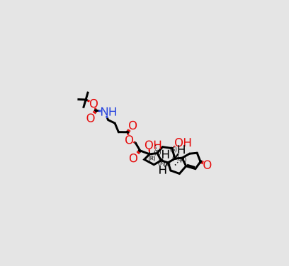 CC(C)(C)OC(=O)NCCCC(=O)OCC(=O)[C@@]1(O)CC[C@H]2[C@@H]3CCC4=CC(=O)CC[C@]4(C)[C@H]3[C@@H](O)C[C@@]21C